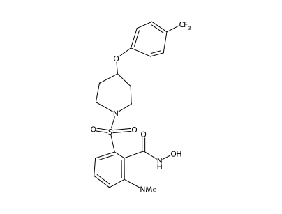 CNc1cccc(S(=O)(=O)N2CCC(Oc3ccc(C(F)(F)F)cc3)CC2)c1C(=O)NO